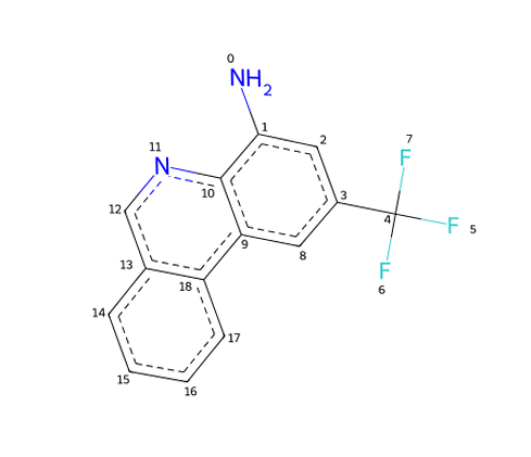 Nc1cc(C(F)(F)F)cc2c1ncc1ccccc12